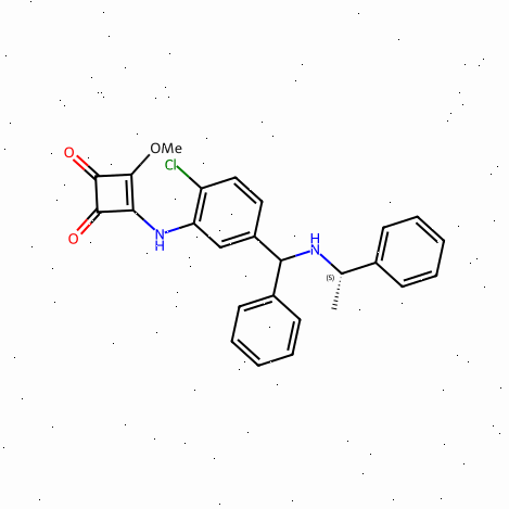 COc1c(Nc2cc(C(N[C@@H](C)c3ccccc3)c3ccccc3)ccc2Cl)c(=O)c1=O